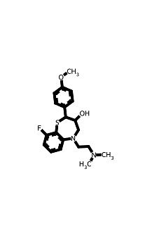 COc1ccc(C2Sc3c(F)cccc3N(CCN(C)C)CC2O)cc1